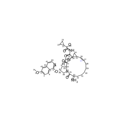 COc1ccc2c(O[C@@H]3C[C@H]4C(=O)N[C@]5(C(=O)NS(=O)(=O)C6CC6)CC5/C=C\CCCCC[C@H](N)C(=O)N4C3)nccc2c1